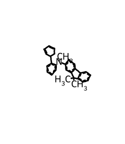 CN(c1ccc2c(c1)C(C)(C)c1ccccc1-2)c1ccccc1C1C=CC=CC1